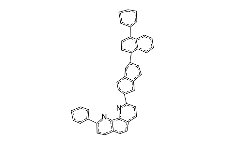 c1ccc(-c2ccc3ccc4ccc(-c5ccc6cc(-c7ccc(-c8ccccc8)c8ccccc78)ccc6c5)nc4c3n2)cc1